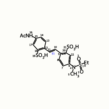 CCS(=O)(=O)N(C)c1ccc(/C=C/c2ccc(NC(C)=O)cc2S(=O)(=O)O)c(S(=O)(=O)O)c1